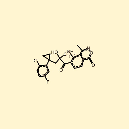 Cc1noc(=O)c2ccc(C(=O)C(O)(CC3(c4cc(F)ccc4Cl)CC3)C(F)(F)F)c(N)c12